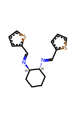 C(=N[C@@H]1CCCC[C@H]1N=Cc1cccs1)c1cccs1